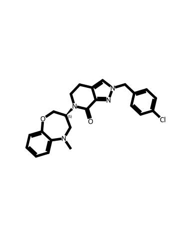 CN1C[C@H](N2CCc3cn(Cc4ccc(Cl)cc4)nc3C2=O)COc2ccccc21